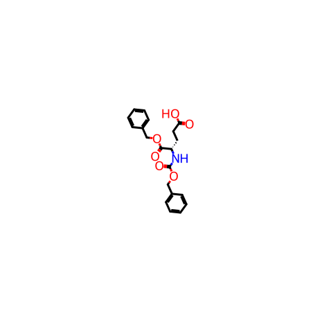 O=C(O)CC[C@H](NC(=O)OCc1ccccc1)C(=O)OCc1ccccc1